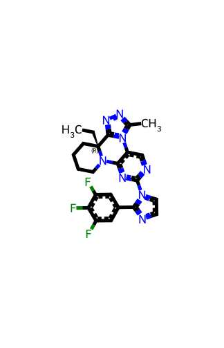 CC[C@]12CCCCN1c1nc(-n3ccnc3-c3cc(F)c(F)c(F)c3)ncc1-n1c(C)nnc12